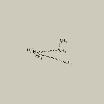 CCCCC/C=C/C=C/CCCCCCCC1(CCCCCCC/C=C/CC(C)CCCCC)CN(C)CC1C